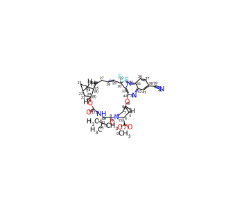 COC(=O)[C@@H]1C[C@@H]2CN1C(=O)[C@H](C(C)(C)C)NC(=O)O[C@@H]1CC3C[C@@H]3[C@H]1CC/C=C/C(F)(F)c1nc3ccc(C#N)cc3nc1O2